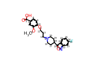 COc1cc(C(=O)O)ccc1OCCCN1CCC(c2onc3cc(F)ccc23)CC1